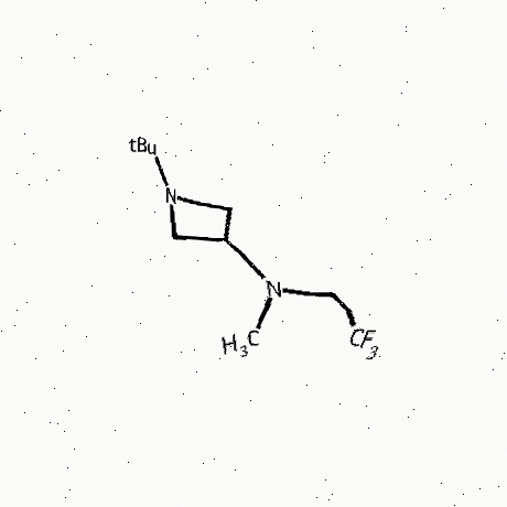 CN(CC(F)(F)F)C1CN(C(C)(C)C)C1